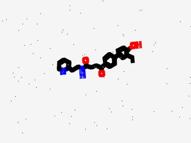 CCc1cc(-c2ccc(C(=O)CCC(=O)NCCc3ccccn3)cc2)ccc1O